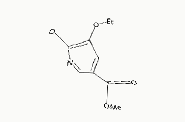 CCOc1cc(C(=O)OC)cnc1Cl